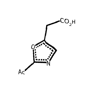 CC(=O)c1ncc(CC(=O)O)o1